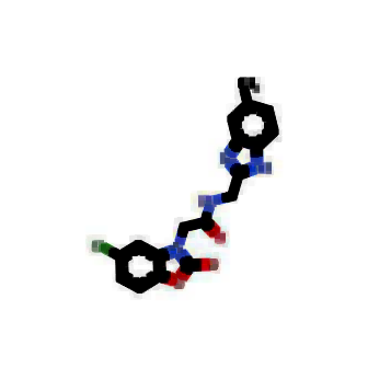 Cc1ccc2[nH]c(CNC(=O)Cn3c(=O)oc4ccc(Cl)cc43)nc2c1